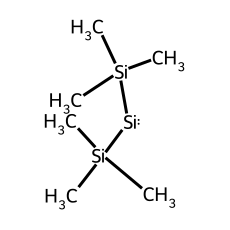 C[Si](C)(C)[Si][Si](C)(C)C